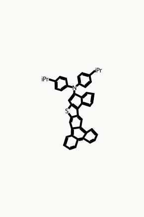 CC(C)c1ccc(N(c2ccc(C(C)C)cc2)c2cc3sc4cc5c6ccccc6c6ccccc6c5cc4c3c3ccccc23)cc1